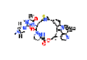 CCn1c(-c2cccnc2[C@H](C)OC)c2c3cc(ccc31)-c1csc(n1)C[C@H](NC(=O)C(C(C)C)N(C)C(=O)N1C[C@@H]3C[C@H]1CN3C)C(=O)N1CCC[C@H](N1)C(=O)OCC(C)(C)C2